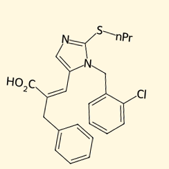 CCCSc1ncc(C=C(Cc2ccccc2)C(=O)O)n1Cc1ccccc1Cl